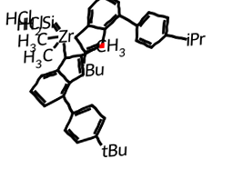 CCC(C)C1=Cc2c(-c3ccc(C(C)C)cc3)cccc2[CH]1[Zr]([CH3])([CH3])(=[SiH2])[CH]1C(C)=Cc2c(-c3ccc(C(C)(C)C)cc3)cccc21.Cl.Cl